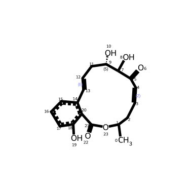 CC1C/C=C\C(=O)C(O)[C@@H](O)C/C=C/c2cccc(O)c2C(=O)O1